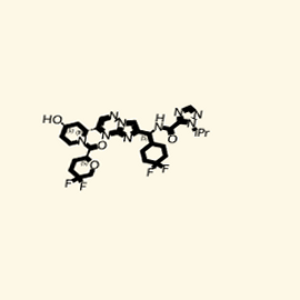 CC(C)n1ncnc1C(=O)N[C@H](c1cn2ncc([C@H]3C[C@@H](O)CCN3C(=O)[C@@H]3CCC(F)(F)CO3)nc2n1)C1CCC(F)(F)CC1